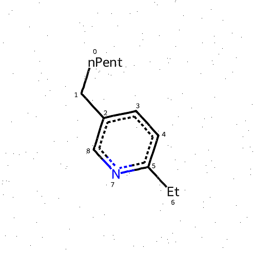 CCCCCCc1ccc(CC)nc1